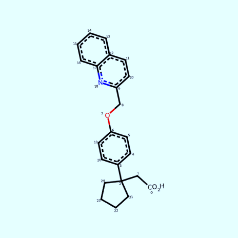 O=C(O)CC1(c2ccc(OCc3ccc4ccccc4n3)cc2)CCCC1